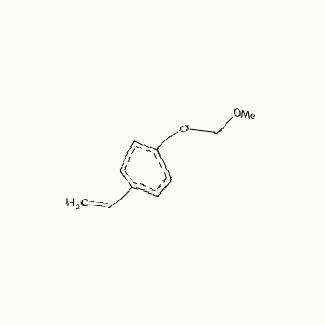 C=Cc1ccc(OCOC)cc1